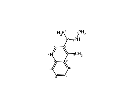 Cc1c(P(P)PP)cnc2ccccc12